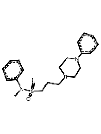 CN(c1ccccc1)S(=O)(=O)CCCN1CCN(c2ccccc2)CC1